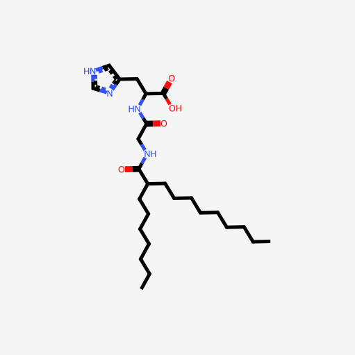 CCCCCCCCCC(CCCCCCC)C(=O)NCC(=O)NC(Cc1c[nH]cn1)C(=O)O